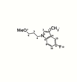 [CH2]c1cn(CCCOC)c2ccc(F)cc12